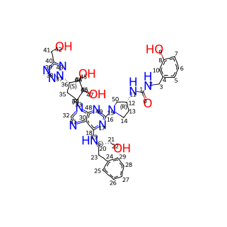 O=C(NCc1cccc(O)c1)N[C@@H]1CCN(c2nc(N[C@H](CO)Cc3ccccc3)c3ncn([C@@H]4C[C@H](n5nnc(CO)n5)[C@@H](O)[C@H]4O)c3n2)C1